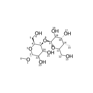 CO[C@@H]1O[C@@H](CO)[C@@H](O[C@@H]2OC(CO)[C@@H](C)[C@@H](O)C2O)C(O)C1O